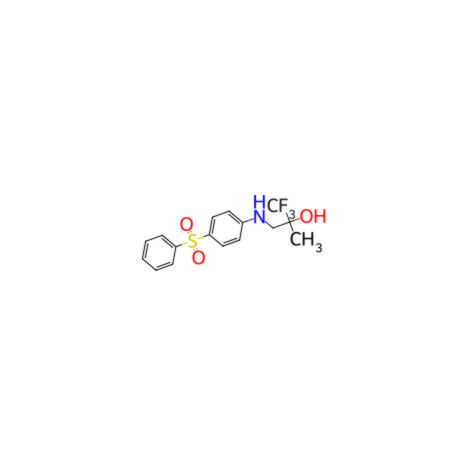 CC(O)(CNc1ccc(S(=O)(=O)c2ccccc2)cc1)C(F)(F)F